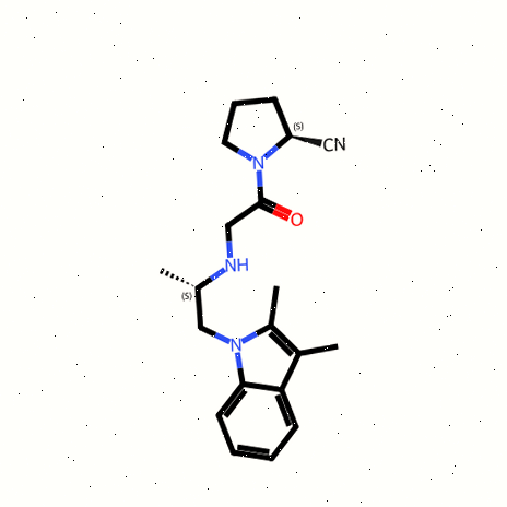 Cc1c(C)n(C[C@H](C)NCC(=O)N2CCC[C@H]2C#N)c2ccccc12